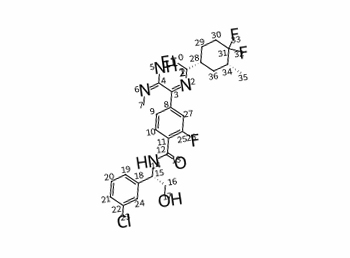 CCC(/N=C(\C(N)=N/C)c1ccc(C(=O)N[C@H](CO)c2cccc(Cl)c2)c(F)c1)[C@@H]1CCC(F)(F)[C@H](C)C1